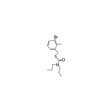 CCCN(CCC)C(=O)SCc1cccc(Br)c1C